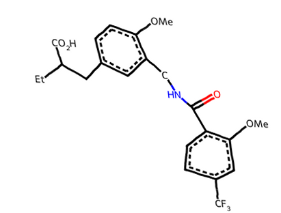 CCC(Cc1ccc(OC)c(CNC(=O)c2ccc(C(F)(F)F)cc2OC)c1)C(=O)O